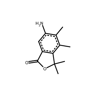 Cc1c(N)cc2c(c1C)C(C)(C)OC2=O